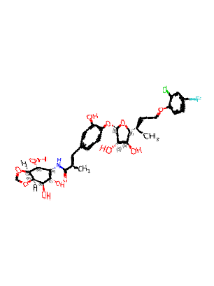 CC(=Cc1ccc(O[C@@H]2O[C@H](C(C)=CCOc3ccc(F)cc3Cl)[C@@H](O)[C@@H]2O)c(O)c1)C(=O)N[C@@H]1[C@H](O)[C@@H](O)[C@H]2OCO[C@H]2[C@@H]1O